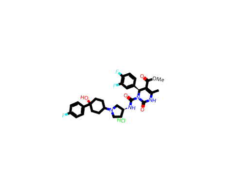 COC(=O)C1=C(C)NC(=O)N(C(=O)N[C@@H]2CCN(C3CCC(O)(c4ccc(F)cc4)CC3)C2)[C@H]1c1ccc(F)c(F)c1.Cl